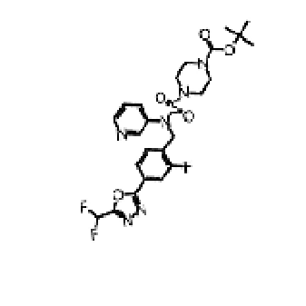 CC(C)(C)OC(=O)N1CCN(S(=O)(=O)N(Cc2ccc(-c3nnc(C(F)F)o3)cc2F)c2cccnc2)CC1